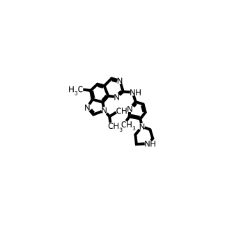 Cc1nc(Nc2ncc3cc(C)c4ncn(C(C)C)c4c3n2)ccc1N1CCNCC1